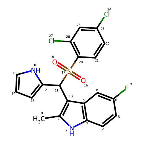 Cc1[nH]c2ccc(F)cc2c1C(c1ccc[nH]1)S(=O)(=O)c1ccc(Cl)cc1Cl